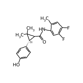 Cc1cc(F)c(F)cc1NC(=O)C1[C@H](c2ccc(O)cc2)C1(C)C